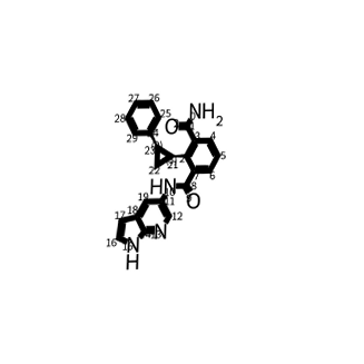 NC(=O)c1cccc(C(=O)Nc2cnc3[nH]ccc3c2)c1[C@H]1C[C@H]1c1ccccc1